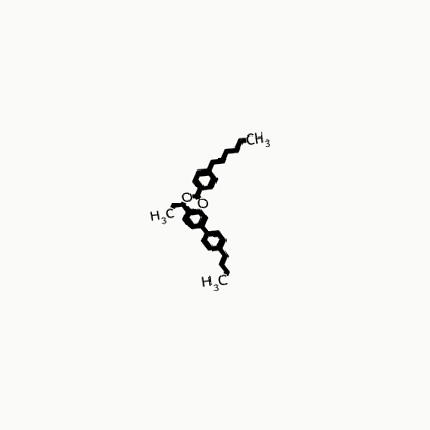 CCCCCCc1ccc(C(=O)OC(CC)c2ccc(-c3ccc(CCCC)cc3)cc2)cc1